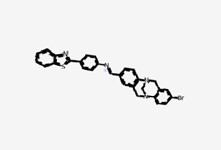 Brc1ccc2c(c1)CN1CN2Cc2cc(/C=N/c3ccc(-c4nc5ccccc5s4)cc3)ccc21